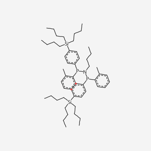 CCCCN(P(c1ccc([Si](CCCC)(CCCC)CCCC)cc1)c1ccccc1C)P(c1ccc([Si](CCCC)(CCCC)CCCC)cc1)c1ccccc1C